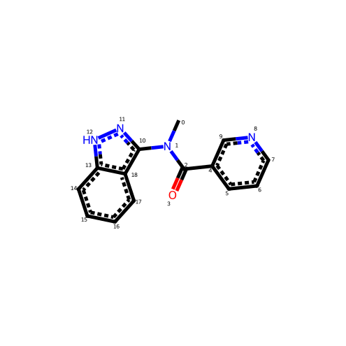 CN(C(=O)c1cccnc1)c1n[nH]c2ccccc12